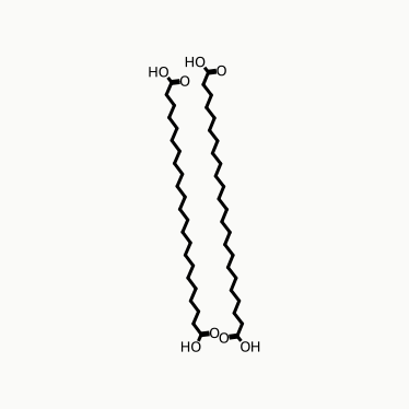 O=C(O)CCCCCCCCCCCCCCCCCCCCCC(=O)O.O=C(O)CCCCCCCCCCCCCCCCCCCCCCC(=O)O